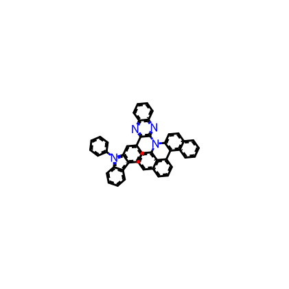 c1ccc(-n2c3ccccc3c3ccc(-c4nc5ccccc5nc4N4c5ccc6ccccc6c5-c5cccc6cccc4c56)cc32)cc1